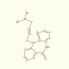 CC(C)N(CC#CCN1c2ccccc2C(=O)Nc2cccnc21)C(C)C